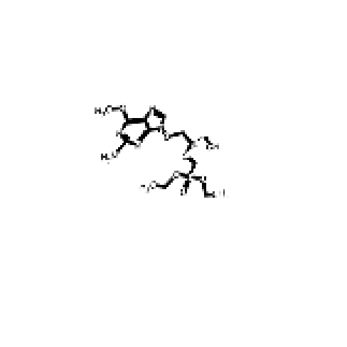 CCOP(=O)(CS[C@@H](CO)COn1cnc2c(OC)nc(N)nc21)OCC